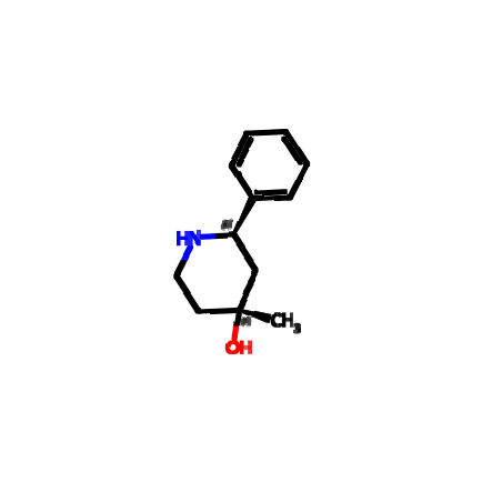 C[C@@]1(O)CCN[C@@H](c2ccccc2)C1